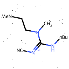 CCCCN/C(=N/C#N)N(C)CCNC